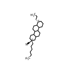 CCCCCC[C@@]1(C#N)CCC2C(CCC3C2CCC2C3CCC[C@H]2CCC)C1